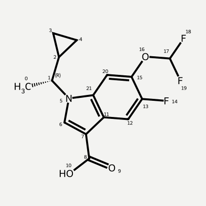 C[C@H](C1CC1)n1cc(C(=O)O)c2cc(F)c(OC(F)F)cc21